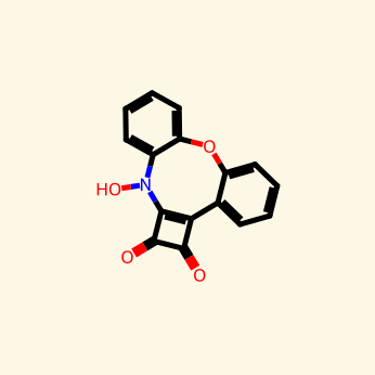 O=c1c(=O)c2c1c1ccccc1oc1ccccc1n2O